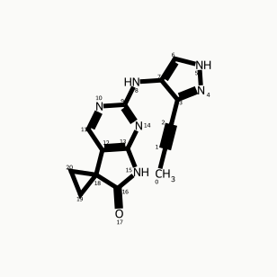 CC#Cc1n[nH]cc1Nc1ncc2c(n1)NC(=O)C21CC1